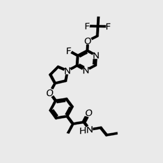 CCCNC(=O)C(C)c1ccc(OC2CCN(c3ncnc(OCC(C)(F)F)c3F)C2)cc1